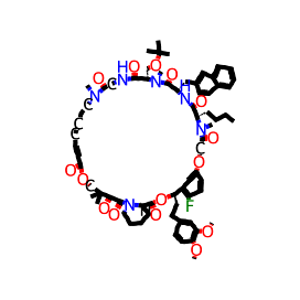 CCCC[C@H]1C(=O)N[C@@H](Cc2ccc3ccccc3c2)C(=O)N(C)[C@@H](COC(C)(C)C)C(=O)NCC(=O)N(C)CCCC/C=C/C(=O)OCC(C)(C)C(=O)C(=O)N2CCCC[C@H]2C(=O)O[C@H](CCc2ccc(OC)c(OC)c2)c2cc(ccc2F)OCC(=O)N1C